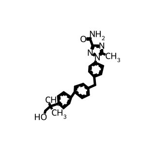 Cc1nc(C(N)=O)nn1-c1ccc(Cc2ccc(-c3ccc(C(C)(C)CO)cc3)cc2)cc1